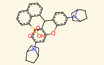 O=S(=O)(O)c1cccc2cccc(C3c4ccc(N5C6CCC5CC6)cc4Oc4cc(N5C6CCC5CC6)ccc43)c12